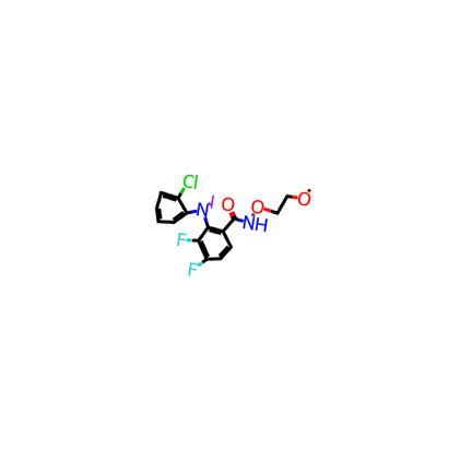 COCCONC(=O)c1ccc(F)c(F)c1N(I)c1ccccc1Cl